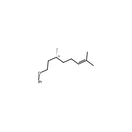 CC(C)=CCC[C@@H](C)CCOC(C)C